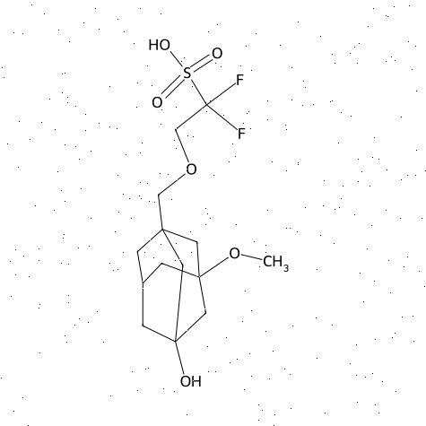 COC12CC3CC(O)(CC(COCC(F)(F)S(=O)(=O)O)(C3)C1)C2